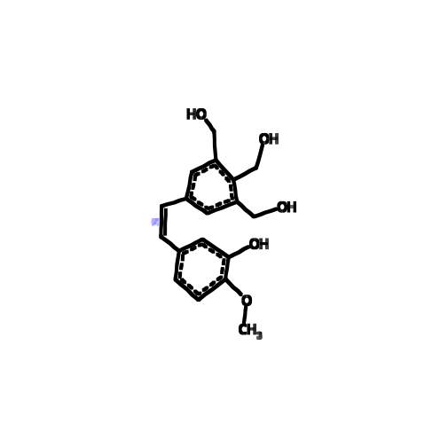 COc1ccc(/C=C\c2cc(CO)c(CO)c(CO)c2)cc1O